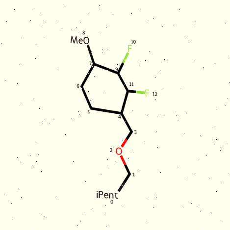 CCCC(C)COCC1CCC(OC)C(F)C1F